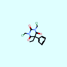 CCC1(c2ccccc2)C(=O)N(CCl)C(=O)N(CCl)C1=O